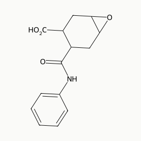 O=C(O)C1CC2OC2CC1C(=O)Nc1ccccc1